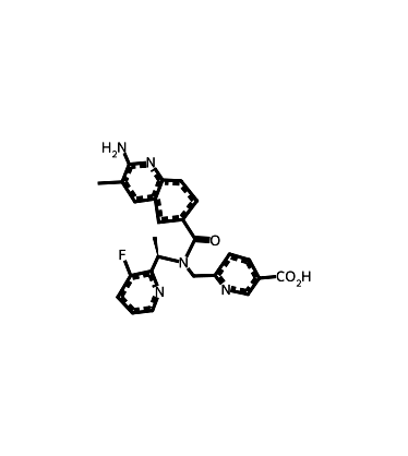 Cc1cc2cc(C(=O)N(Cc3ccc(C(=O)O)cn3)[C@H](C)c3ncccc3F)ccc2nc1N